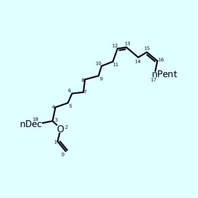 C=COC(CCCCCCCC/C=C\C/C=C\CCCCC)CCCCCCCCCC